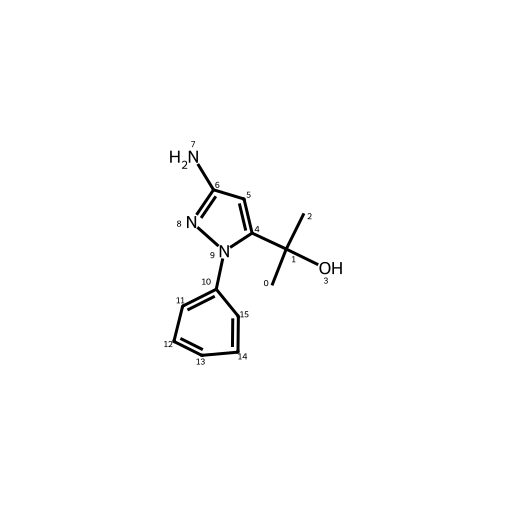 CC(C)(O)c1cc(N)nn1-c1ccccc1